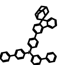 c1ccc(-c2ccc(N(c3ccc(-c4ccc5c(c4)-c4ccccc4C54C5CC6CC(C5)CC4C6)cc3)c3cccc(-c4ccccc4)c3)cc2)cc1